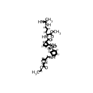 CCOC(=O)c1nc(CNc2cccc(S(=O)(=O)Nc3ccsc3C(=O)N[C@@H](CCCNC(C)=N)C(=O)OC)c2)cs1